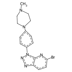 CN1CCN(c2ccc(-n3nnc4ccc(Br)nc43)cc2)CC1